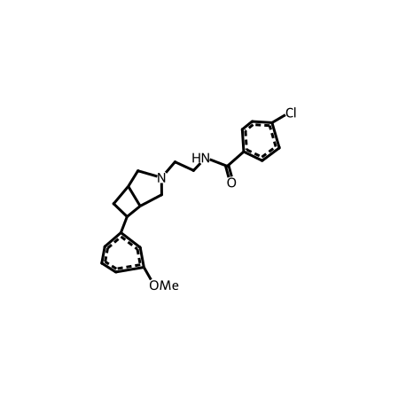 COc1cccc(C2CC3CN(CCNC(=O)c4ccc(Cl)cc4)CC32)c1